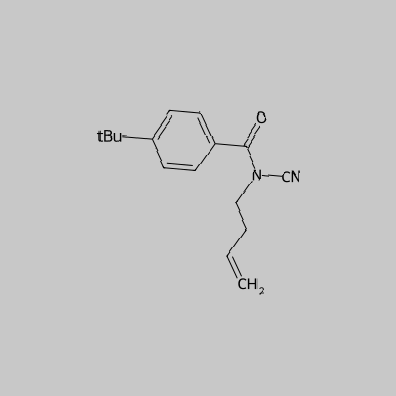 C=CCCN(C#N)C(=O)c1ccc(C(C)(C)C)cc1